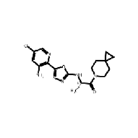 C[C@H](Nc1nnc(-c2ncc(Cl)cc2N)o1)C(=O)N1CCC2(CC1)CC2